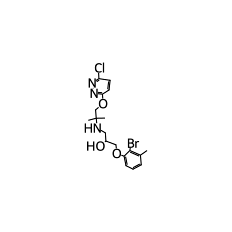 Cc1cccc(OCC(O)CNC(C)(C)COc2ccc(Cl)nn2)c1Br